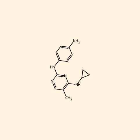 Cc1cnc(Nc2ccc(N)cc2)nc1NC1CC1